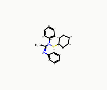 CC(=Nc1ccccc1)N(SC1CCCCC1)c1ccccc1